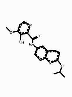 COc1ccnc(C(=O)Nc2ccc3nc(OC(C)C)ccc3c2)c1O